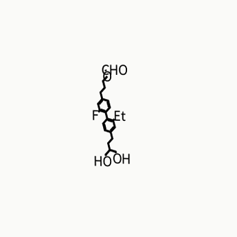 CCc1cc(CCC(CO)CO)ccc1-c1ccc(CCCOC=O)cc1F